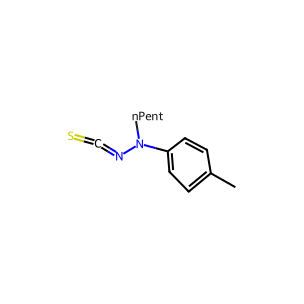 CCCCCN(N=C=S)c1ccc(C)cc1